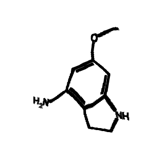 COc1cc(N)c2c(c1)NCC2